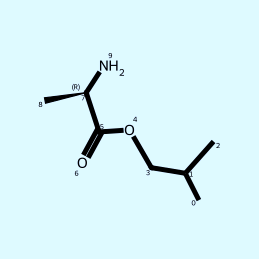 CC(C)COC(=O)[C@@H](C)N